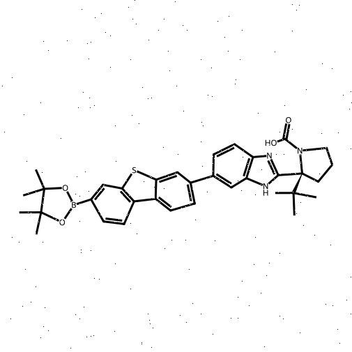 CC1(C)OB(c2ccc3c(c2)sc2cc(-c4ccc5nc([C@@]6(C(C)(C)C)CCCN6C(=O)O)[nH]c5c4)ccc23)OC1(C)C